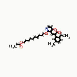 C=CC(=O)OCCCCCCCCCCOc1nccc2oc(=O)c(-c3cc(C)ccc3CC)cc12